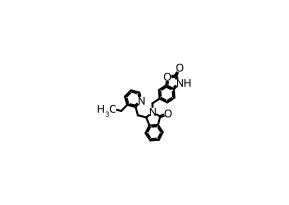 CCc1cccnc1CC1c2ccccc2C(=O)N1Cc1ccc2[nH]c(=O)oc2c1